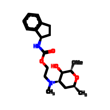 CO[C@@H]1O[C@H](C)C[C@H](N(C)CCOC(=O)N[C@@H]2CCc3ccccc32)[C@H]1O